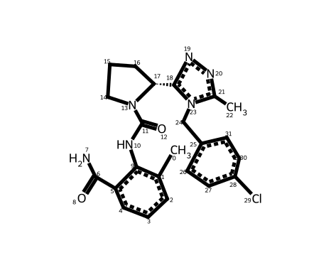 Cc1cccc(C(N)=O)c1NC(=O)N1CCC[C@@H]1c1nnc(C)n1Cc1ccc(Cl)cc1